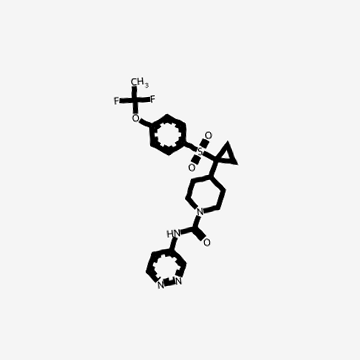 CC(F)(F)Oc1ccc(S(=O)(=O)C2(C3CCN(C(=O)Nc4ccnnc4)CC3)CC2)cc1